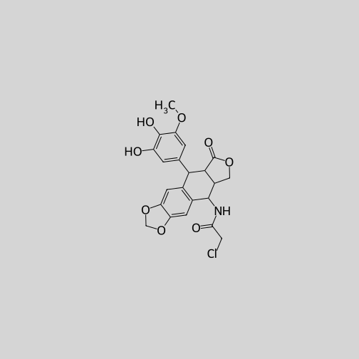 COc1cc(C2c3cc4c(cc3C(NC(=O)CCl)C3COC(=O)C23)OCO4)cc(O)c1O